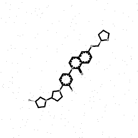 O=c1c2ccc(OC[C@H]3CCCO3)cc2ccn1-c1ccc(N2CCC(N3CC[C@H](F)C3)C2)c(F)c1